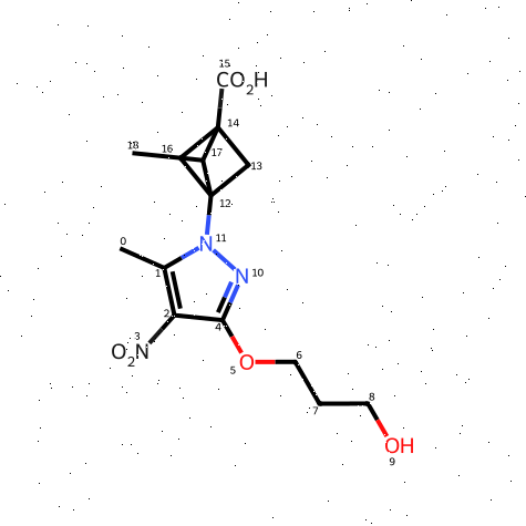 Cc1c([N+](=O)[O-])c(OCCCO)nn1C12CC(C(=O)O)(C1)C2C